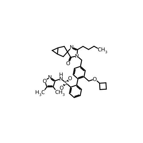 CCCCC1=NC2(CC3CC3C2)C(=O)N1Cc1ccc(-c2ccccc2S(=O)(=O)Nc2noc(C)c2C)c(COC2CCC2)c1